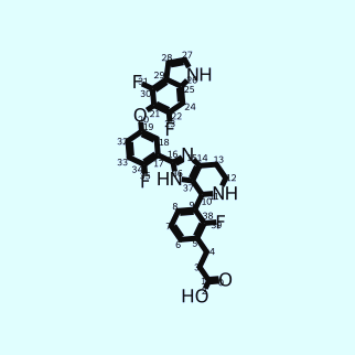 O=C(O)CCc1cccc(C2NCCc3nc(-c4cc(Oc5c(F)cc6[nH]ccc6c5F)ccc4F)[nH]c32)c1F